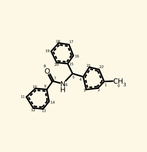 Cc1ccc(C(NC(=O)c2ccccc2)c2ccccc2)cc1